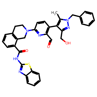 Cc1c(-c2ccc(N3CCc4cccc(C(=O)Nc5nc6ccccc6s5)c4C3)nc2[C]=O)c(CO)nn1Cc1ccccc1